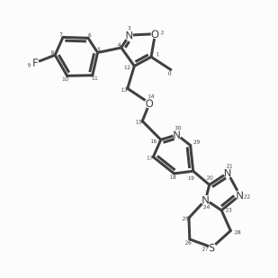 Cc1onc(-c2ccc(F)cc2)c1COCc1ccc(-c2nnc3n2CCSC3)cn1